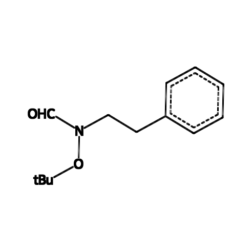 CC(C)(C)ON(C=O)CCc1ccccc1